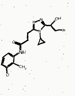 Cc1c(Cl)cccc1NC(=O)CCc1nnc(C(O)CC(C)C)n1C1CC1